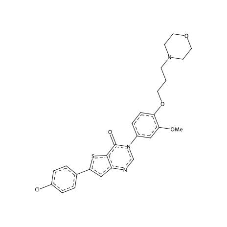 COc1cc(-n2cnc3cc(-c4ccc(Cl)cc4)sc3c2=O)ccc1OCCCN1CCOCC1